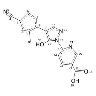 Cc1cc(C#N)ccc1-c1cnn(-c2ccc(C(=O)O)cn2)c1O